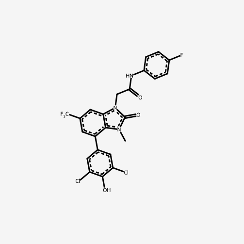 Cn1c(=O)n(CC(=O)Nc2ccc(F)cc2)c2cc(C(F)(F)F)cc(-c3cc(Cl)c(O)c(Cl)c3)c21